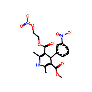 COC(=O)C1=C(C)NC(C)=C(C(=O)OCCO[N+](=O)[O-])C1c1cccc([N+](=O)[O-])c1